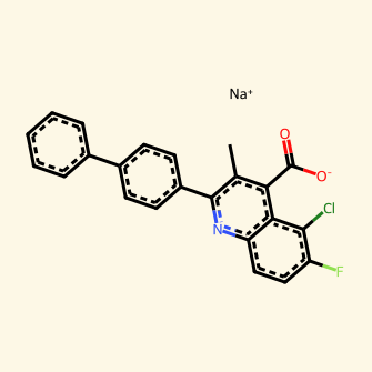 Cc1c(-c2ccc(-c3ccccc3)cc2)nc2ccc(F)c(Cl)c2c1C(=O)[O-].[Na+]